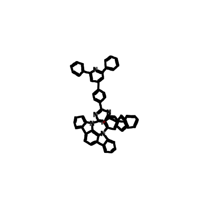 c1ccc(-c2cccc(-n3c4ccccc4c4ccc5c6ccccc6n(-c6nc(-c7ccccc7)nc(-c7ccc(-c8cc(-c9ccccc9)nc(-c9ccccc9)c8)cc7)n6)c5c43)c2)cc1